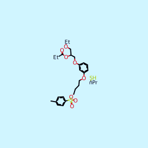 CCCS.CCOCC(COc1cccc(OCCCCOS(=O)(=O)c2ccc(C)cc2)c1)OC(=O)CC